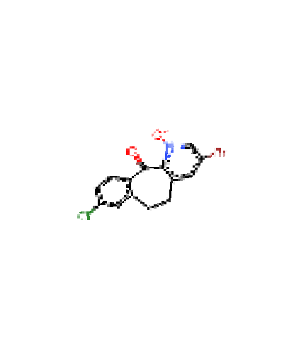 O=C1c2ccc(Cl)cc2CCc2cc(Br)c[n+]([O-])c21